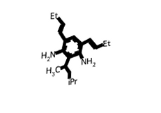 CC/C=C/c1cc(/C=C/CC)c(N)c(C(C)CC(C)C)c1N